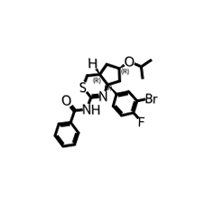 CC(C)O[C@@H]1C[C@H]2CSC(NC(=O)c3ccccc3)=N[C@@]2(c2ccc(F)c(Br)c2)C1